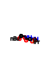 CCCCOc1cccc(CONC(=O)C2CCC(NS(=O)(=O)C(C)C)CC2)c1